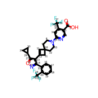 O=C(O)c1cnc(N2CCC3(C=C(c4c(-c5ccccc5C(F)(F)F)noc4C4CC4)C3)CC2)cc1C(F)(F)F